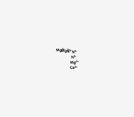 [Ga+3].[Mg+2].[Mg+2].[Mg+2].[N-3].[N-3].[N-3]